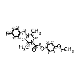 CCOc1ccc(OCC(=O)N2CC(C)N(Cc3ccc(F)cc3)CC2C)cc1